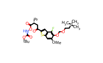 COc1cc2sc(C(=O)C[C@H](C(=O)ONC(=O)OC(C)(C)C)C(C)C)cc2c(F)c1OCOCC[Si](C)(C)C